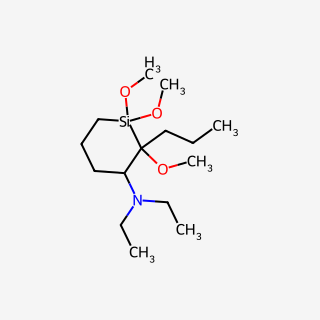 CCCC1(OC)C(N(CC)CC)CCC[Si]1(OC)OC